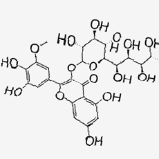 COc1cc(-c2oc3cc(O)cc(O)c3c(=O)c2OC2O[C@H]([C@H](O)[C@@H](O)[C@H](O)[C@@H](C)O)[C@@H](O)[C@H](O)[C@H]2O)cc(O)c1O